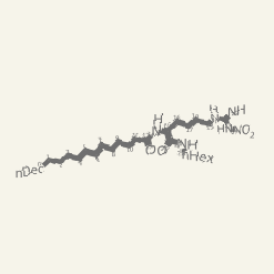 CCCCCCCCCCCCCCCCCCCCCC(=O)NC(CCCCNC(=N)N[N+](=O)[O-])C(=O)NCCCCCC